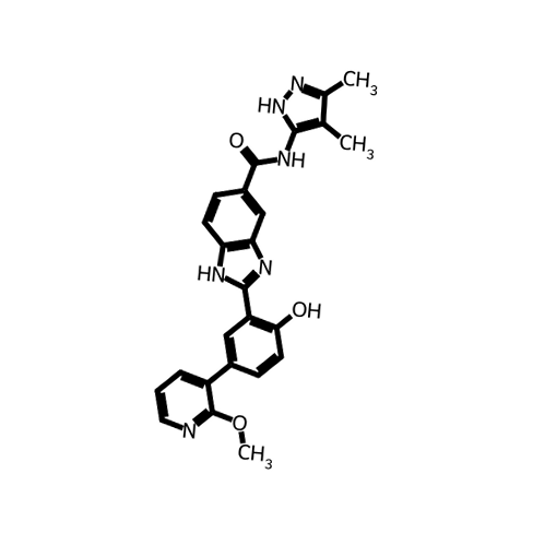 COc1ncccc1-c1ccc(O)c(-c2nc3cc(C(=O)Nc4[nH]nc(C)c4C)ccc3[nH]2)c1